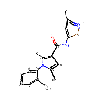 Cc1cc(NC(=O)c2cc(C)n(-c3ccccc3C(F)(F)F)c2C)sn1